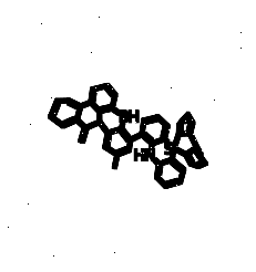 C=C1c2ccccc2-c2cccc3c2C1c1cc(C)cc(-c2cccc4c2Nc2ccccc2[Si]42c4ccccc4-c4ccccc42)c1B3